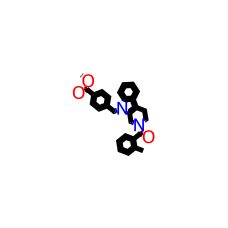 COC(=O)c1ccc(Cn2c3c(c4ccccc42)CCN(C(=O)c2ccccc2C)C3)cc1